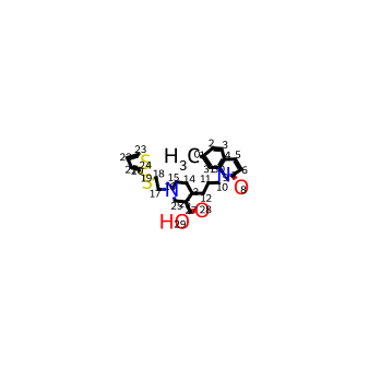 Cc1ccc2ccc(=O)n(CCCC3CCN(CCSc4cccs4)CC3C(=O)O)c2c1